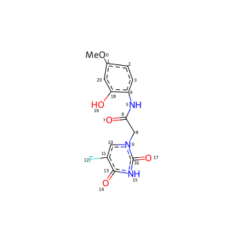 COc1ccc(NC(=O)Cn2cc(F)c(=O)[nH]c2=O)c(O)c1